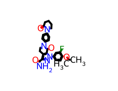 CC(C)Oc1ccc(-n2nc(C(N)=O)c3c2C(=O)N(c2ccc(N4CCCCC4=O)cc2)CC3)cc1F